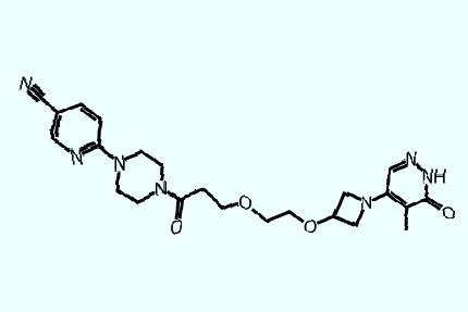 Cc1c(N2CC(OCCOCCC(=O)N3CCN(c4ccc(C#N)cn4)CC3)C2)cn[nH]c1=O